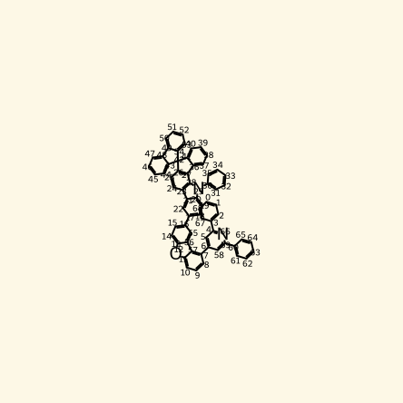 c1ccc(-c2cc(-c3cccc4oc5ccc(-c6ccc7c(c6)c6ccc8c(c6n7-c6ccccc6)-c6ccccc6C86c7ccccc7-c7ccccc76)cc5c34)cc(-c3ccccc3)n2)cc1